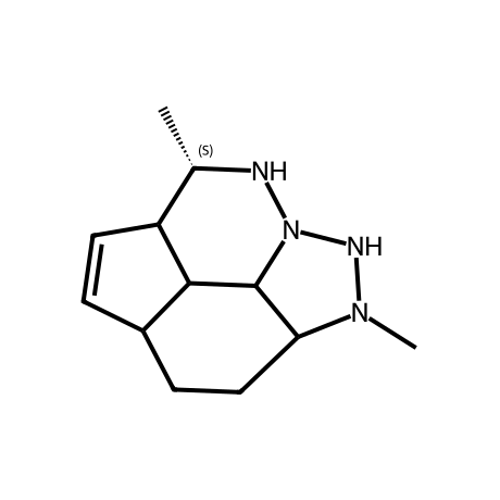 C[C@@H]1NN2NN(C)C3CCC4C=CC1C4C32